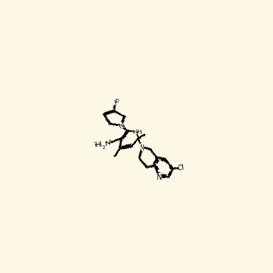 CC1=CC(C)(N2CCc3ncc(Cl)cc3C2)NC(N2CC[C@@H](F)C2)=C1N